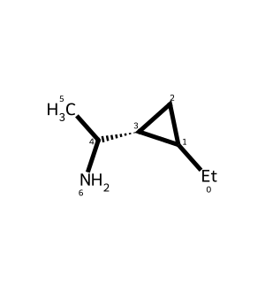 CCC1C[C@H]1C(C)N